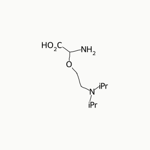 CC(C)N(CCOC(N)C(=O)O)C(C)C